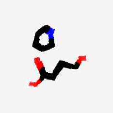 O=C(O)C=CCO.c1ccncc1